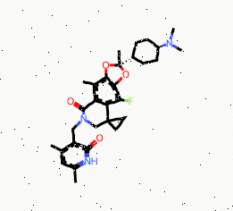 Cc1cc(C)c(CN2CC3(CC3)c3c(F)c4c(c(C)c3C2=O)OC(C)([C@H]2CC[C@H](N(C)C)CC2)O4)c(=O)[nH]1